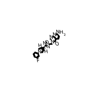 Nc1ccc2c(=O)n(Cc3nc([C@H]4[C@@H]5CN(c6cccc(F)c6)C[C@@H]54)no3)cnc2n1